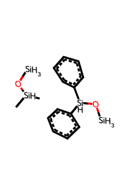 C[SiH](C)O[SiH3].[SiH3]O[SiH](c1ccccc1)c1ccccc1